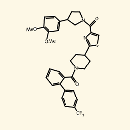 COc1ccc(C2CCN(C(=O)c3csc(C4CCN(C(=O)c5ccccc5-c5ccc(C(F)(F)F)cc5)CC4)n3)C2)cc1OC